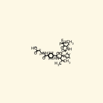 CCC(NC(=O)[C@@H]1CCCN1C(=O)C(NC(=O)c1ccc(C(=O)NCCC(=O)O)cc1)C(C)C)C(=O)C(F)(F)F